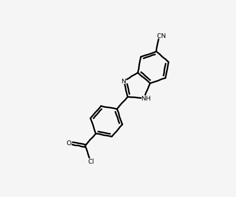 N#Cc1ccc2[nH]c(-c3ccc(C(=O)Cl)cc3)nc2c1